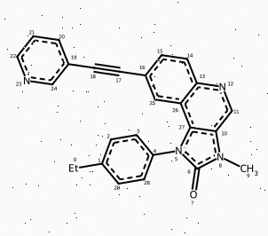 CCc1ccc(-n2c(=O)n(C)c3cnc4ccc(C#Cc5cccnc5)cc4c32)cc1